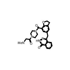 CNCC(=O)N1CCN(C(=O)c2cc(Cc3n[nH]c(=O)c4ccccc34)cc3c2OCC3)CC1